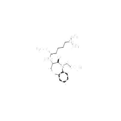 CCCN(CCC)CCCC[C@@H](NC1CSc2ccccc2N(CC(=O)O)C1=O)C(=O)O